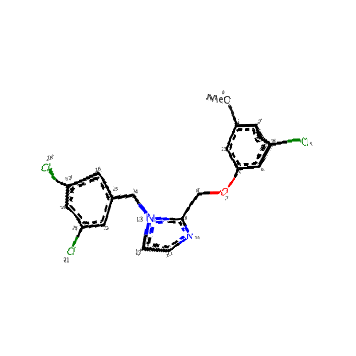 COc1cc(Cl)cc(OCc2nccn2Cc2cc(Cl)cc(Cl)c2)c1